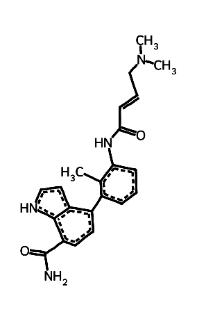 Cc1c(NC(=O)C=CCN(C)C)cccc1-c1ccc(C(N)=O)c2[nH]ccc12